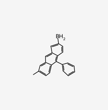 Bc1ccc2c(-c3ccccc3)c3ccc(C)cc3cc2c1